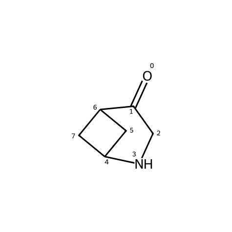 O=C1CNC2CC1C2